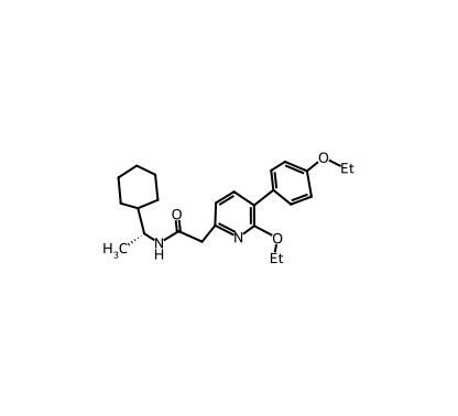 CCOc1ccc(-c2ccc(CC(=O)N[C@H](C)C3CCCCC3)nc2OCC)cc1